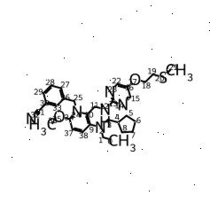 CCN(CC1CCCC1)C1=C(CNc2ncc(OCCSC)cn2)N(Cc2cccc(C#N)c2)C(OC)C=C1